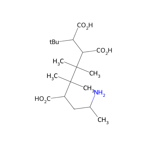 CC(N)CC(C(=O)O)C(C)(C)C(C)(C)C(C(=O)O)C(C(=O)O)C(C)(C)C